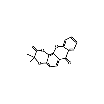 C=C1Oc2c(ccc3c(=O)c4ccccc4oc23)OC1(C)C